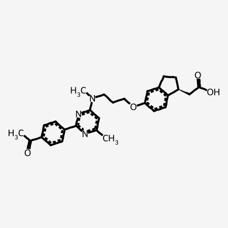 CC(=O)c1ccc(-c2nc(C)cc(N(C)CCCOc3ccc4c(c3)CC[C@H]4CC(=O)O)n2)cc1